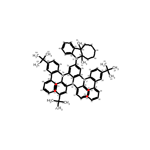 CC(C)(C)c1ccc2c(c1)B1c3ccccc3N(c3ccc(C(C)(C)C)cc3-c3ccccc3)c3cc(N4c5ccccc5C5(C)CCCCCC45C)cc(c31)N2c1ccc(C(C)(C)C)cc1-c1ccccc1